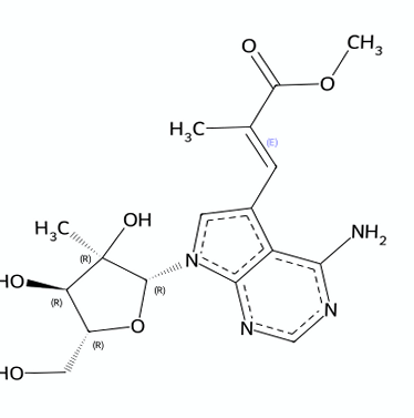 COC(=O)/C(C)=C/c1cn([C@@H]2O[C@H](CO)[C@@H](O)[C@@]2(C)O)c2ncnc(N)c12